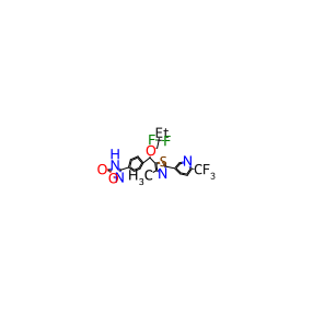 CCC(F)(F)COC(c1ccc(-c2noc(=O)[nH]2)cc1)c1sc(-c2ccc(C(F)(F)F)nc2)nc1C